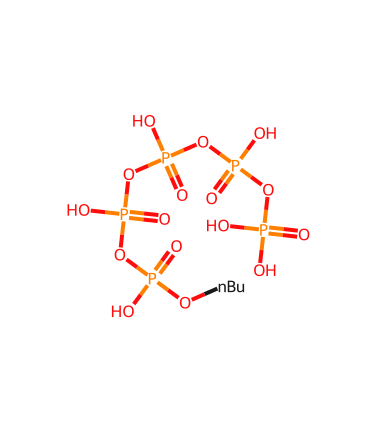 CCCCOP(=O)(O)OP(=O)(O)OP(=O)(O)OP(=O)(O)OP(=O)(O)O